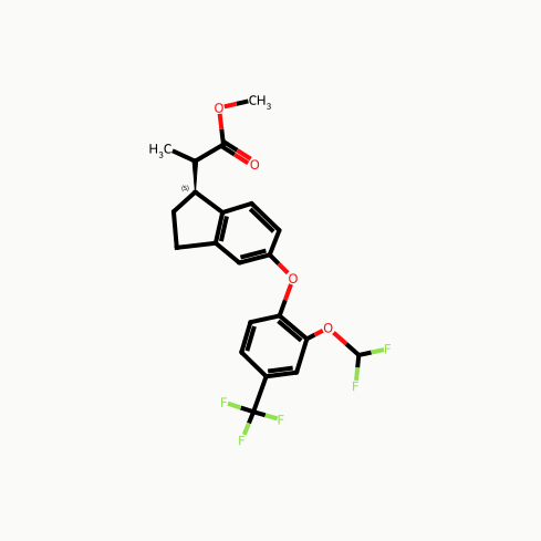 COC(=O)C(C)[C@@H]1CCc2cc(Oc3ccc(C(F)(F)F)cc3OC(F)F)ccc21